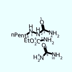 CCCCCNNC(N)=O.CCOC(N)=O.NC(N)=O